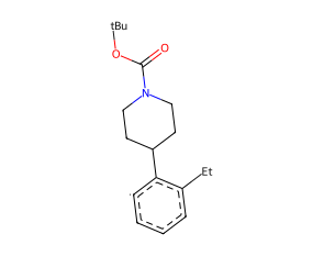 CCc1ccc[c]c1C1CCN(C(=O)OC(C)(C)C)CC1